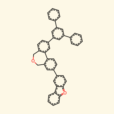 c1ccc(-c2cc(-c3ccccc3)cc(-c3ccc4c(c3)-c3ccc(-c5ccc6oc7ccccc7c6c5)cc3COC4)c2)cc1